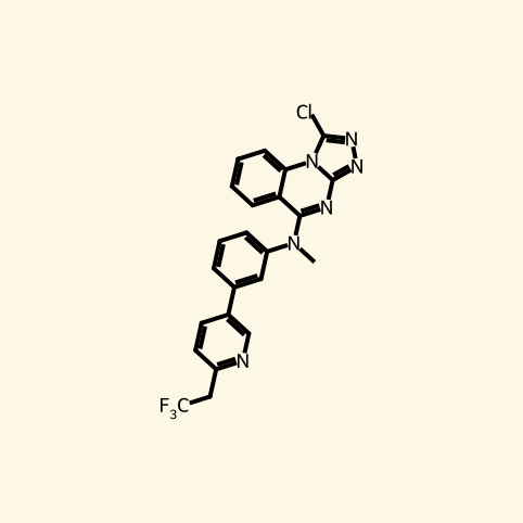 CN(c1cccc(-c2ccc(CC(F)(F)F)nc2)c1)c1nc2nnc(Cl)n2c2ccccc12